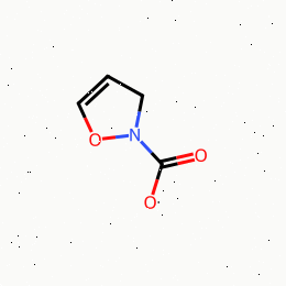 [O]C(=O)N1CC=CO1